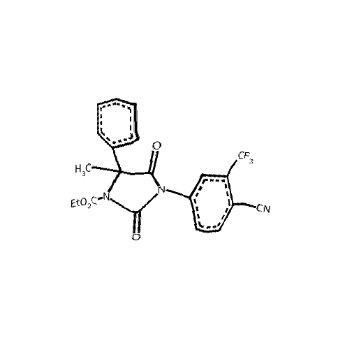 CCOC(=O)N1C(=O)N(c2ccc(C#N)c(C(F)(F)F)c2)C(=O)C1(C)c1cc[c]cc1